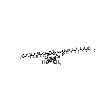 CCCCCCCCCCCCCC(=O)OCCN(CCOC(=O)CCCCCCCCCCCCC)C(=O)CC[N+](C)(C)CCO